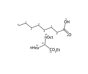 CCCCCCCC(=O)O.CCCCCCCCC(CCCCCC)C(=O)OCC